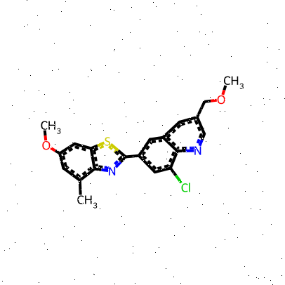 COCc1cnc2c(Cl)cc(-c3nc4c(C)cc(OC)cc4s3)cc2c1